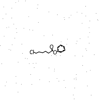 O=C(CCCCCCl)Oc1ccccc1